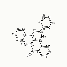 O=C1c2cccnc2-c2nc(-c3cccnc3)cc3c2c1nc1ccccc13